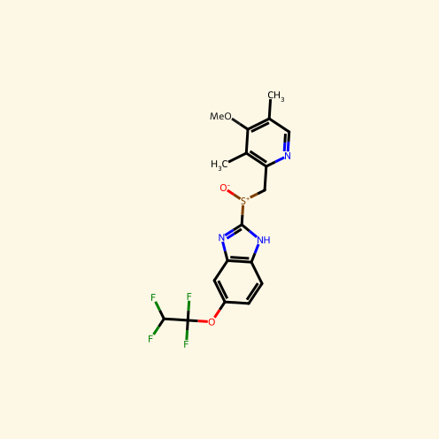 COc1c(C)cnc(C[S+]([O-])c2nc3cc(OC(F)(F)C(F)F)ccc3[nH]2)c1C